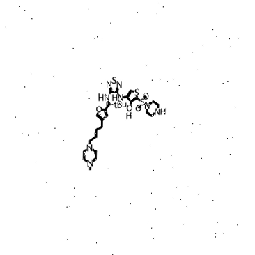 CN1CCN(CCCCc2coc([C@H](Nc3nsnc3Nc3csc(S(=O)(=O)N4CCNCC4)c3O)C(C)(C)C)c2)CC1